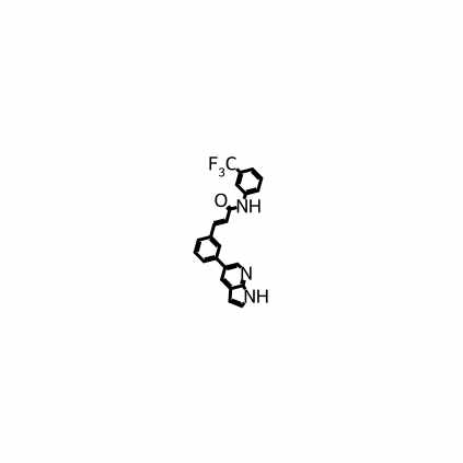 O=C(C=Cc1cccc(-c2cnc3[nH]ccc3c2)c1)Nc1cccc(C(F)(F)F)c1